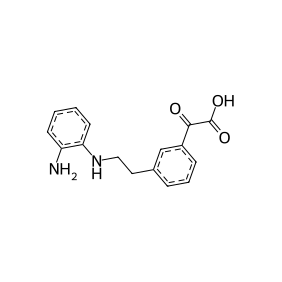 Nc1ccccc1NCCc1cccc(C(=O)C(=O)O)c1